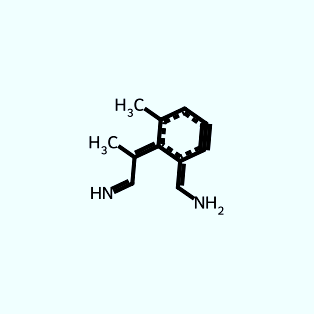 C/C(C=N)=c1\c(C)cc#c\c1=C/N